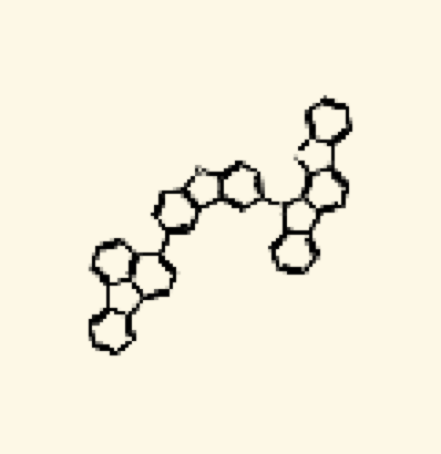 c1ccc2c(c1)-c1cccc3c(-c4ccc5sc6ccc(-n7c8ccccc8c8ccc9c%10ccccc%10sc9c87)cc6c5c4)ccc-2c13